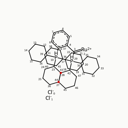 [Cl-].[Cl-].[Ru+2]=[C](c1ccccc1[PH](C1CCCCC1)(C1CCCCC1)C1CCCCC1)[PH](C1CCCCC1)(C1CCCCC1)C1CCCCC1